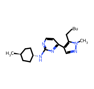 CCC(C)Cc1c(-c2ccnc(N[C@H]3CC[C@H](C)CC3)n2)cnn1C